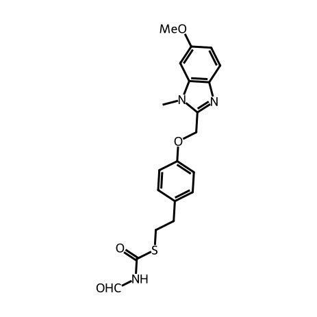 COc1ccc2nc(COc3ccc(CCSC(=O)NC=O)cc3)n(C)c2c1